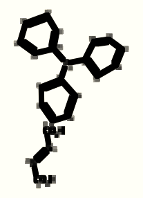 O=C(O)/N=N/C(=O)O.c1ccc(P(c2ccccc2)c2ccccc2)cc1